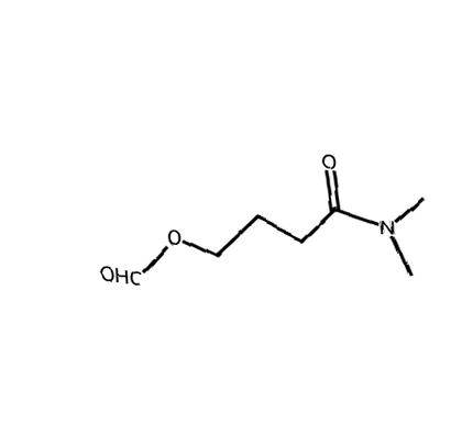 CN(C)C(=O)CCCOC=O